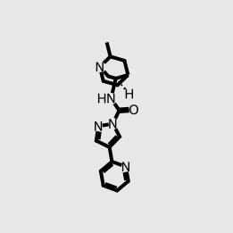 CC1CC2CCN1C[C@@H]2NC(=O)n1cc(-c2ccccn2)cn1